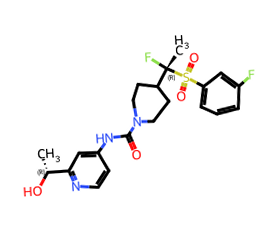 C[C@@H](O)c1cc(NC(=O)N2CCC([C@](C)(F)S(=O)(=O)c3cccc(F)c3)CC2)ccn1